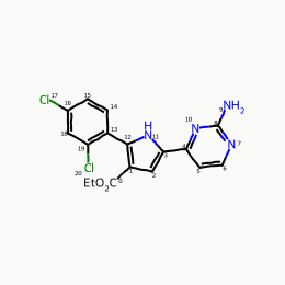 CCOC(=O)c1cc(-c2ccnc(N)n2)[nH]c1-c1ccc(Cl)cc1Cl